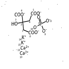 O=C([O-])CC(O)(CC(=O)[O-])C(=O)[O-].O=P([O-])([O-])[O-].[Ca+2].[Ca+2].[K+].[K+]